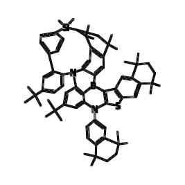 CC(C)(C)c1ccc2c(c1)-c1ccc(cc1)[Si](C)(C)C1CC(C)(C)c3cc4c(cc3C1(C)C)N2c1cc(C(C)(C)C)cc2c1B4c1c(sc3cc4c(cc13)C(C)(C)CCC4(C)C)N2c1ccc2c(c1)C(C)(C)CCC2(C)C